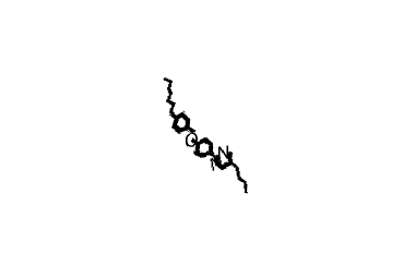 CCCCCCCc1ccc(COc2ccc(-c3ncc(CCCC)cn3)cc2)cc1